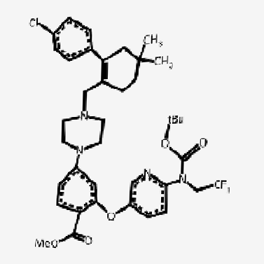 COC(=O)c1ccc(N2CCN(CC3=C(c4ccc(Cl)cc4)CC(C)(C)CC3)CC2)cc1Oc1ccc(N(CC(F)(F)F)C(=O)OC(C)(C)C)nc1